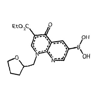 CCOC(=O)c1cn(CC2CCCO2)c2ncc(B(O)O)cc2c1=O